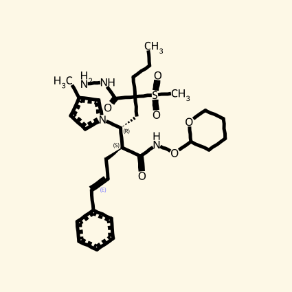 CCCC(C[C@H]([C@H](C/C=C/c1ccccc1)C(=O)NOC1CCCCO1)n1ccc(C)c1)(C(=O)NN)S(C)(=O)=O